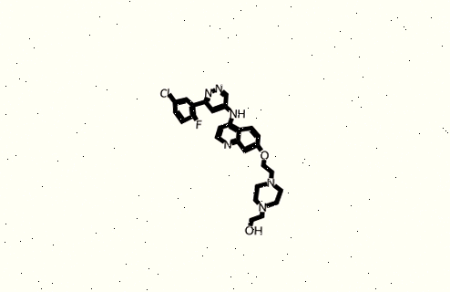 OCCN1CCN(CCOc2ccc3c(Nc4cnnc(-c5cc(Cl)ccc5F)c4)ccnc3c2)CC1